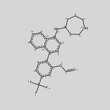 O=COc1cc(C(F)(F)F)ccc1-c1nnc(NC2CCCNCC2)c2cnccc12